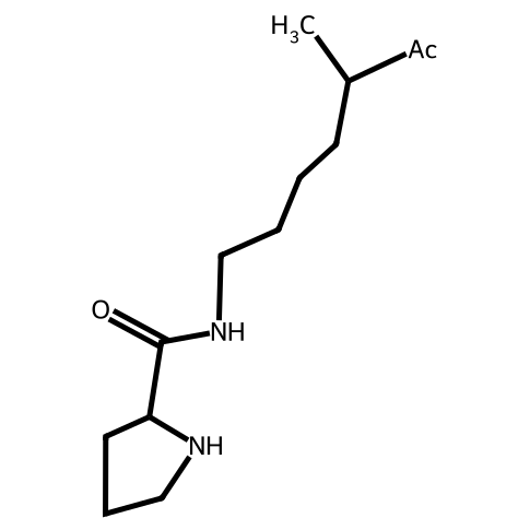 CC(=O)C(C)CCCCNC(=O)C1CCCN1